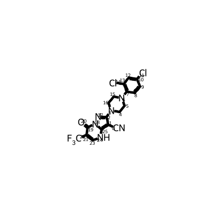 N#Cc1c(N2CCN(c3ccc(Cl)cc3Cl)CC2)nn2c(=O)c(C(F)(F)F)c[nH]c12